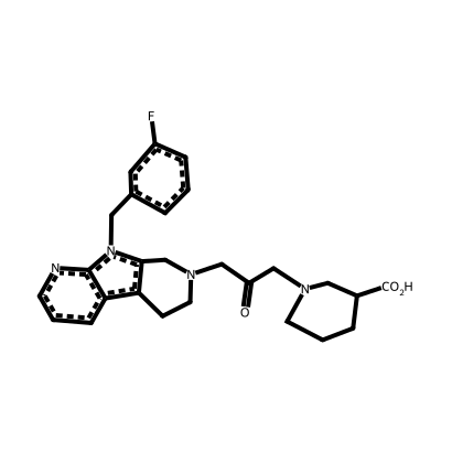 O=C(CN1CCc2c(n(Cc3cccc(F)c3)c3ncccc23)C1)CN1CCCC(C(=O)O)C1